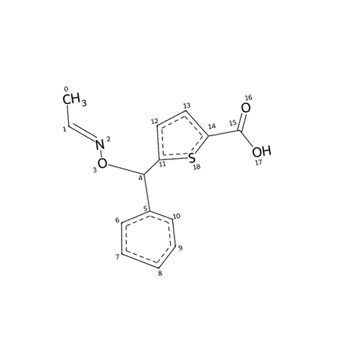 CC=NOC(c1ccccc1)c1ccc(C(=O)O)s1